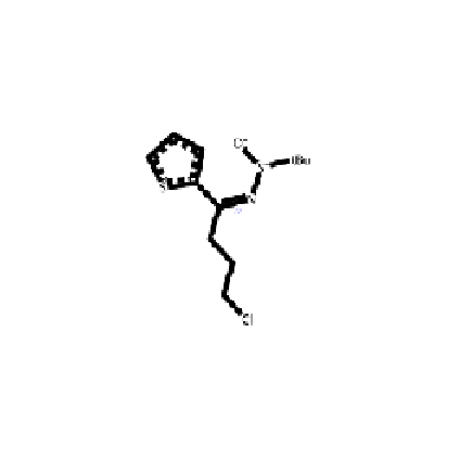 CC(C)(C)[S+]([O-])/N=C(/CCCCl)c1cccs1